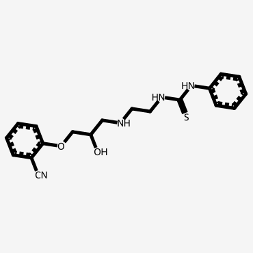 N#Cc1ccccc1OCC(O)CNCCNC(=S)Nc1ccccc1